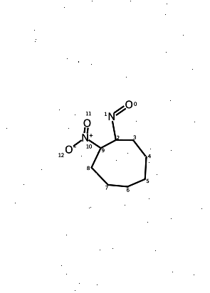 O=NC1CCCCCCC1[N+](=O)[O-]